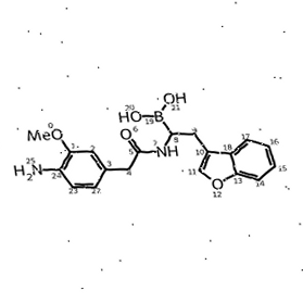 COc1cc(CC(=O)NC(Cc2coc3ccccc23)B(O)O)ccc1N